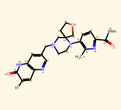 CCc1cc2ncc(CN3CCN(c4ccc(C(=O)NC)nc4C)C4(CCOC4)C3)cc2[nH]c1=O